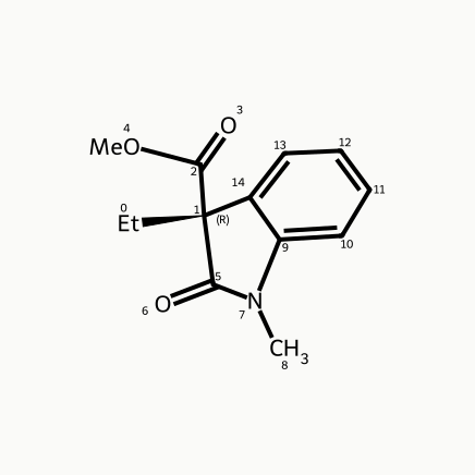 CC[C@]1(C(=O)OC)C(=O)N(C)c2ccccc21